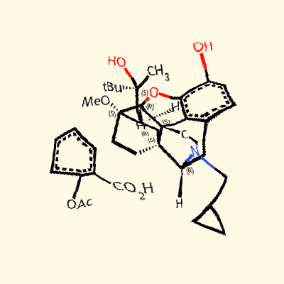 CC(=O)Oc1ccccc1C(=O)O.CO[C@@]12CC[C@@]3(C[C@@H]1[C@](C)(O)C(C)(C)C)[C@H]1Cc4ccc(O)c5c4[C@@]3(CCN1CC1CC1)[C@H]2O5